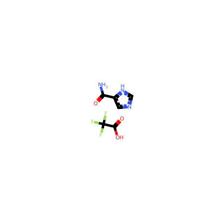 NC(=O)c1cnc[nH]1.O=C(O)C(F)(F)F